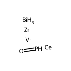 O=P.[BiH3].[Ce].[V].[Zr]